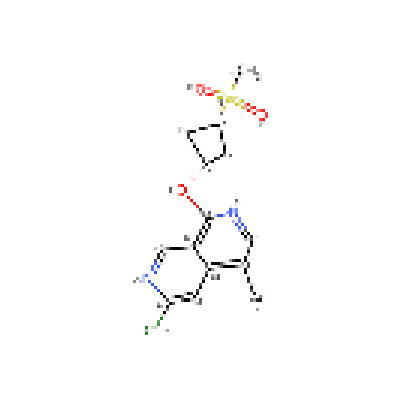 CC(=O)c1cnc(O[C@H]2C[C@@H](S(C)(=O)=O)C2)c2cnc(Cl)cc12